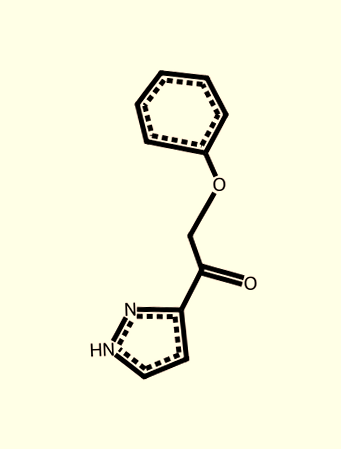 O=C(COc1ccccc1)c1cc[nH]n1